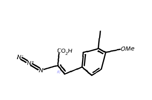 COc1ccc(/C=C(/N=[N+]=[N-])C(=O)O)cc1C